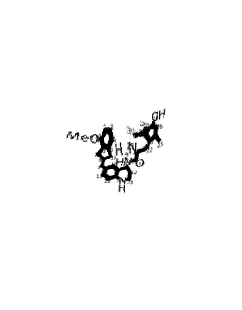 COc1cccc2c1CC(Cc1ccc3c(c1)[C@H](NC(=O)C(N)Cc1c(C)cc(O)cc1C)CCN3)C2